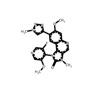 COc1cc2ncc3c(c2cc1-c1cn(C)nn1)n(-c1c(F)cncc1OC)c(=O)n3C